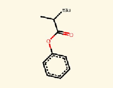 CC(C(=O)Oc1ccccc1)C(C)(C)C